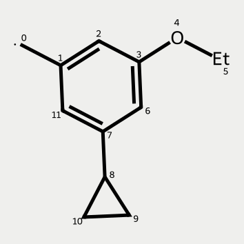 [CH2]c1cc(OCC)cc(C2CC2)c1